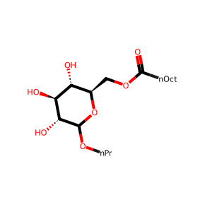 CCCCCCCCC(=O)OC[C@H]1OC(OCCC)[C@H](O)[C@@H](O)[C@@H]1O